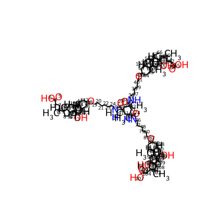 C[C@H](CCC(=O)O)C1CC[C@H]2[C@@H]3[C@H](O)C[C@@H]4C[C@@H](OCCCCCCNC(=O)C5(C)CC(C)(C(=O)NCCCCCCO[C@H]6CC[C@@]7(C)[C@H](CC[C@@H]8[C@@H]7C[C@H](O)[C@]7(C)[C@@H]([C@H](C)CCC(=O)O)CC[C@@H]87)C6)CC(C)(C(=O)NCCCCCCO[C@H]6CC[C@@]7(C)[C@@H](C6)C[C@@H](O)[C@@H]6[C@@H]7C[C@H](O)[C@]7(C)[C@@H]([C@H](C)CCC(=O)O)CC[C@@H]67)C5)CC[C@]4(C)[C@H]3CC[C@]12C